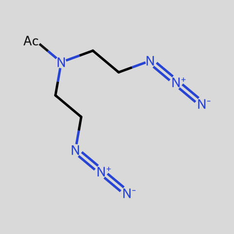 CC(=O)N(CCN=[N+]=[N-])CCN=[N+]=[N-]